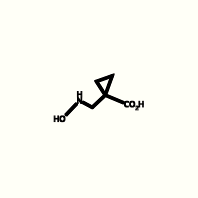 O=C(O)C1(CNO)CC1